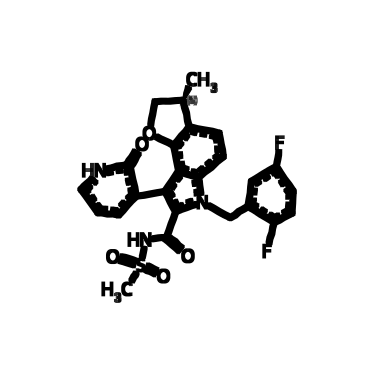 C[C@@H]1COc2c1ccc1c2c(-c2ccc[nH]c2=O)c(C(=O)NS(C)(=O)=O)n1Cc1cc(F)ccc1F